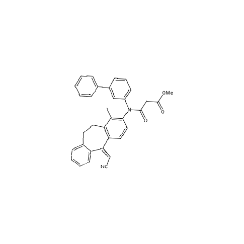 COC(=O)CC(=O)N(c1cccc(-c2ccccc2)c1)c1ccc2c(c1C)CCc1ccccc1C2=CC#N